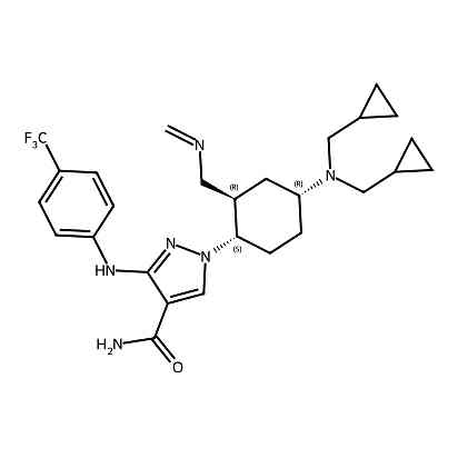 C=NC[C@H]1C[C@H](N(CC2CC2)CC2CC2)CC[C@@H]1n1cc(C(N)=O)c(Nc2ccc(C(F)(F)F)cc2)n1